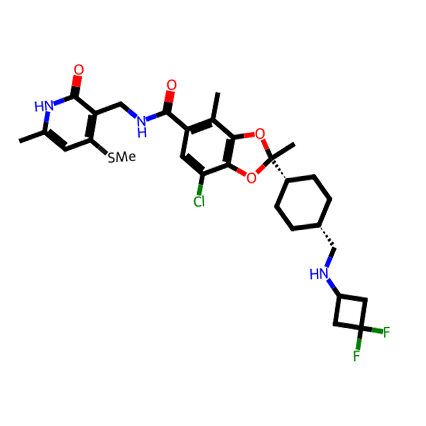 CSc1cc(C)[nH]c(=O)c1CNC(=O)c1cc(Cl)c2c(c1C)OC(C)([C@H]1CC[C@@H](CNC3CC(F)(F)C3)CC1)O2